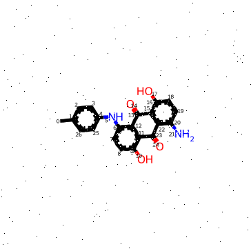 Cc1ccc(Nc2ccc(O)c3c2C(=O)c2c(O)ccc(N)c2C3=O)cc1